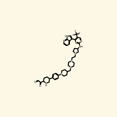 O=CC(=O)C1CCC(c2ccc(N3CCC(CN4CCN(CCN5CCC(Nc6ncc(C(F)(F)F)c(-c7c[nH]c8ncccc78)n6)C5)CC4)CC3)cc2)CN1